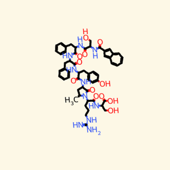 CC1CC(NC(=O)C(Cc2ccc(O)cc2)NC(=O)C(Cc2ccccc2)NC(=O)C(Cc2ccccc2)NC(=O)C(CO)NC(=O)c2cc3cccccc-3c2)C(=O)N1C(CCCNC(=N)N)C(=O)NC(CO)C(=O)O